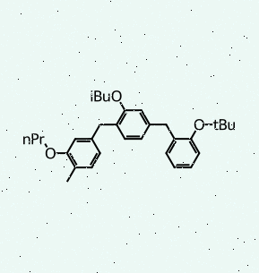 CCCOc1cc(Cc2ccc(Cc3ccccc3OC(C)(C)C)cc2OCC(C)C)ccc1C